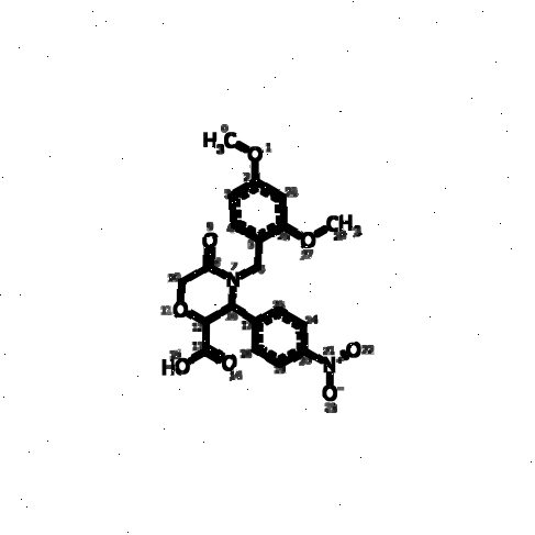 COc1ccc(CN2C(=O)COC(C(=O)O)C2c2ccc([N+](=O)[O-])cc2)c(OC)c1